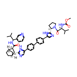 COC(=O)N[C@H](C(=O)N1CCC[C@H]1c1ncc(-c2ccc(-c3ccc(-c4cnc([C@@H]5[C@H]6CC[C@H](C6)[C@H]5C(=O)NC(c5cccnc5)C(C)C)[nH]4)cc3)cc2)[nH]1)C(C)C